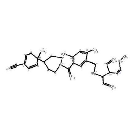 C=CC(NCc1cc(C(=C)N2CCC(C3(C)C=CC(C#N)=CC3)CC2)c(C)cc1C)C(/C=C\NC)N=C